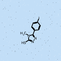 Cn1c(S)nnc1-c1ccc(I)cc1